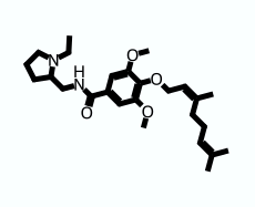 CCN1CCCC1CNC(=O)c1cc(OC)c(OCC=C(C)CCC=C(C)C)c(OC)c1